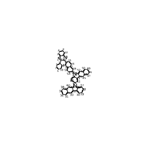 c1ccc(-c2nc3ccccc3nc2-c2ccc3cc(-n4c5ccc(-n6c7ccccc7c7cc8ccccc8cc76)cc5c5cc6ccccc6cc54)ccc3c2)cc1